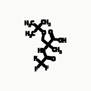 CC(C)(C)OCC(C)(NC(=O)C(F)(F)F)C(=O)O